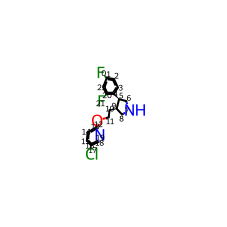 Fc1ccc([C@H]2CNC[C@H]2CCOc2ccc(Cl)cn2)c(F)c1